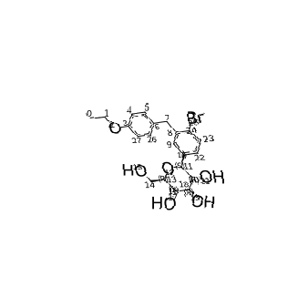 CCOc1ccc(Cc2cc([C@@H]3O[C@H](CO)[C@@H](O)[C@H](O)[C@H]3O)ccc2Br)cc1